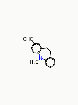 CN1c2ccccc2CCc2cc(C=O)ccc21